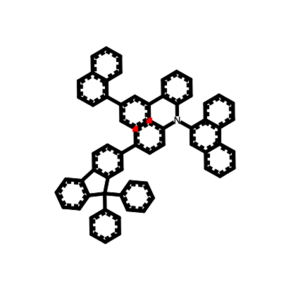 c1ccc(C2(c3ccccc3)c3ccccc3-c3ccc(-c4ccc(N(c5ccccc5-c5cccc(-c6cccc7ccccc67)c5)c5cc6ccccc6c6ccccc56)cc4)cc32)cc1